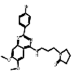 COc1cc2nc(-c3ccc(Br)cc3)nc(NCCCN3CCCC3=O)c2cc1OC